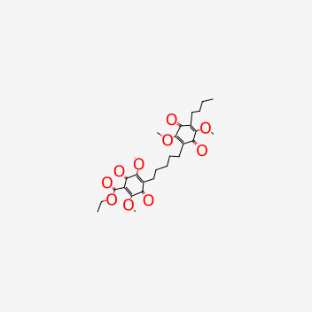 CCCCC1=C(OC)C(=O)C(CCCCCC2=C(OC)C(=O)C(C(=O)OCC)=C(OC)C2=O)=C(OC)C1=O